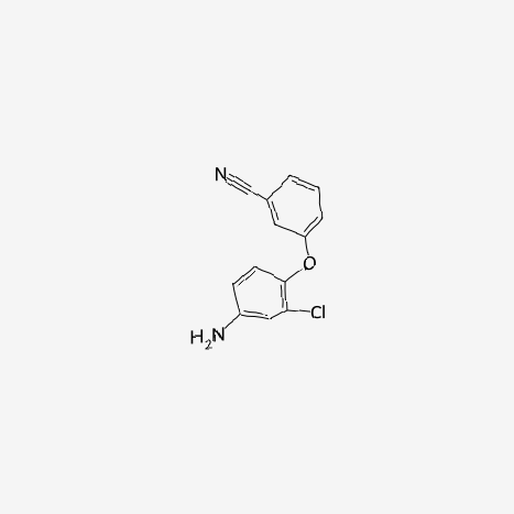 N#Cc1cccc(Oc2ccc(N)cc2Cl)c1